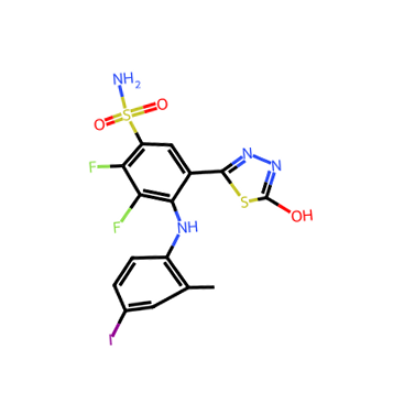 Cc1cc(I)ccc1Nc1c(-c2nnc(O)s2)cc(S(N)(=O)=O)c(F)c1F